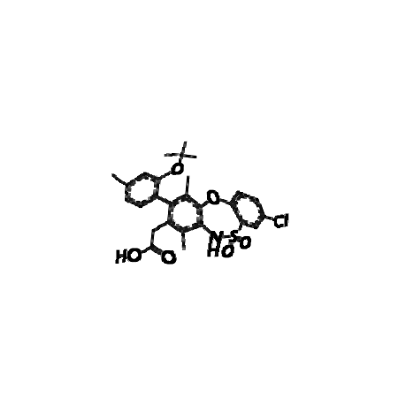 Cc1ccc(-c2c(C)c3c(c(C)c2CC(=O)O)NS(=O)(=O)c2cc(Cl)ccc2O3)c(OC(C)(C)C)c1